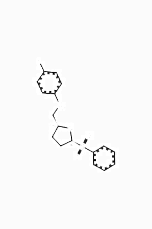 O=S(=O)(c1ccccc1)[C@H]1CC[C@@H](COc2ccc(F)cc2)O1